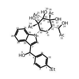 CCc1ccc(C(O)c2cn([C@H]3S[C@@H](C(O)C(C)=O)[C@](O)(C(C)=O)[C@@](O)(C(C)=O)[C@]3(O)C(C)=O)c3ccccc23)cc1